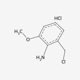 COc1cccc(CCl)c1N.Cl